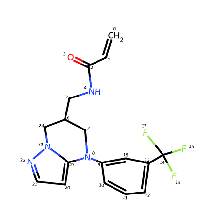 C=CC(=O)NCC1CN(c2cccc(C(F)(F)F)c2)c2ccnn2C1